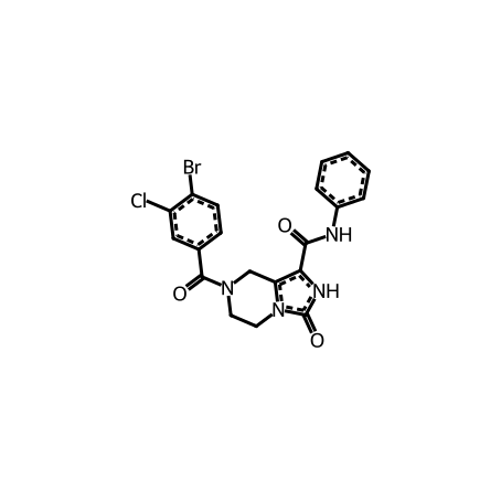 O=C(Nc1ccccc1)c1[nH]c(=O)n2c1CN(C(=O)c1ccc(Br)c(Cl)c1)CC2